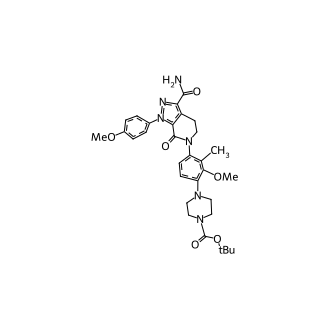 COc1ccc(-n2nc(C(N)=O)c3c2C(=O)N(c2ccc(N4CCN(C(=O)OC(C)(C)C)CC4)c(OC)c2C)CC3)cc1